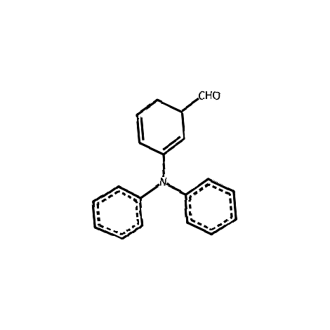 O=CC1C=C(N(c2ccccc2)c2ccccc2)C=CC1